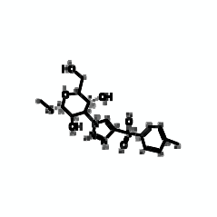 CS[C@@H]1OC(CO)[C@H](O)C(n2cc(S(=O)(=O)c3ccc(C)cc3)nn2)C1O